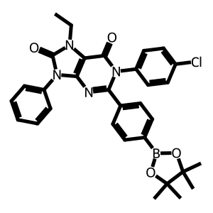 CCn1c(=O)n(-c2ccccc2)c2nc(-c3ccc(B4OC(C)(C)C(C)(C)O4)cc3)n(-c3ccc(Cl)cc3)c(=O)c21